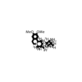 [2H]C([2H])([2H])C([2H])(C([2H])([2H])[2H])[C@]([2H])(N)C(=O)OC1([2H])C([2H])([2H])C2c3cc(OC)c(OC)cc3CCN2C([2H])([2H])C1([2H])CC(C)C